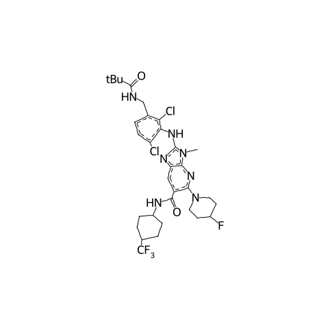 Cn1c(Nc2c(Cl)ccc(CNC(=O)C(C)(C)C)c2Cl)nc2cc(C(=O)NC3CCC(C(F)(F)F)CC3)c(N3CCC(F)CC3)nc21